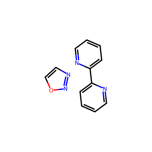 c1ccc(-c2ccccn2)nc1.c1conn1